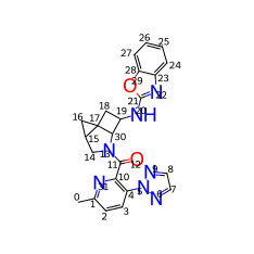 Cc1ccc(-n2nccn2)c(C(=O)N2CC3CC34CC(Nc3nc5ccccc5o3)C24)n1